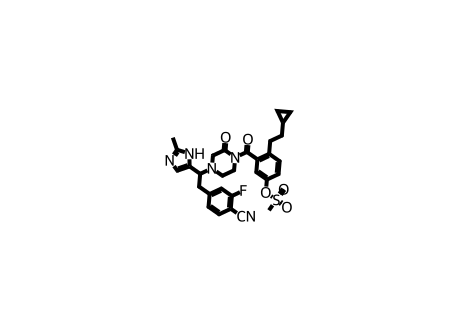 Cc1ncc(C(Cc2ccc(C#N)c(F)c2)N2CCN(C(=O)c3cc(OS(C)(=O)=O)ccc3CCC3CC3)C(=O)C2)[nH]1